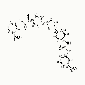 COc1cccc(CC(=O)Nc2ccc([C@@H]3CC[C@@H](c4ccc(NC(=O)Cc5cccc(OC)c5)nn4)C3)nn2)c1